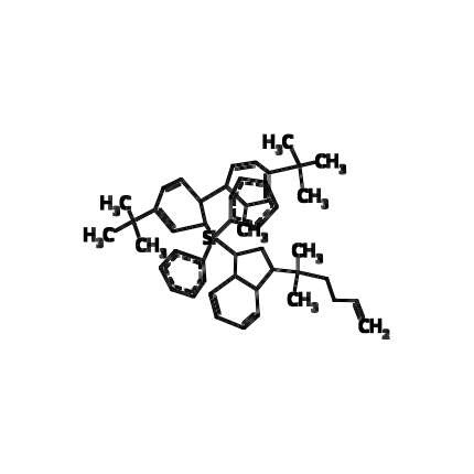 C=CCCC(C)(C)C1CC([Si](c2ccccc2)(c2ccccc2)C2C=C(C(C)(C)C)C=CC2C2C=CC(C(C)(C)C)=CC2C)C2C=CC=CC21